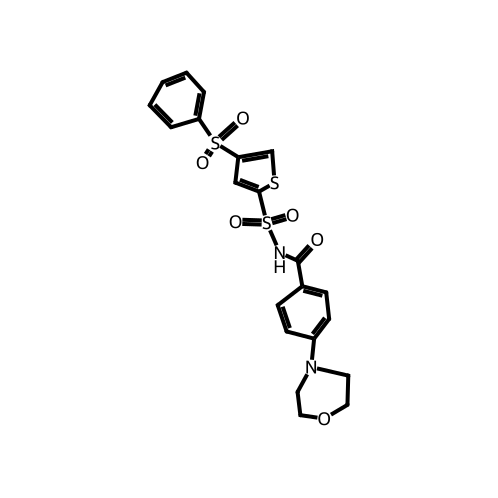 O=C(NS(=O)(=O)c1cc(S(=O)(=O)c2ccccc2)cs1)c1ccc(N2CCOCC2)cc1